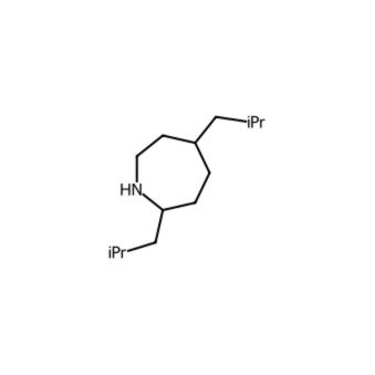 CC(C)CC1CCNC(CC(C)C)CC1